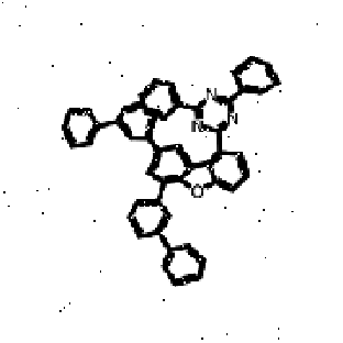 c1ccc(-c2cccc(-c3cc(-c4cccc(-c5ccccc5)c4)c4oc5cccc(-c6nc(-c7ccccc7)nc(-c7ccccc7)n6)c5c4c3)c2)cc1